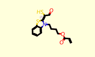 C=CC(=O)OCCCCN1/C(=C(/S)C=O)Sc2ccccc21